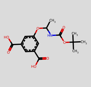 CC(NC(=O)OC(C)(C)C)Oc1cc(C(=O)O)cc(C(=O)O)c1